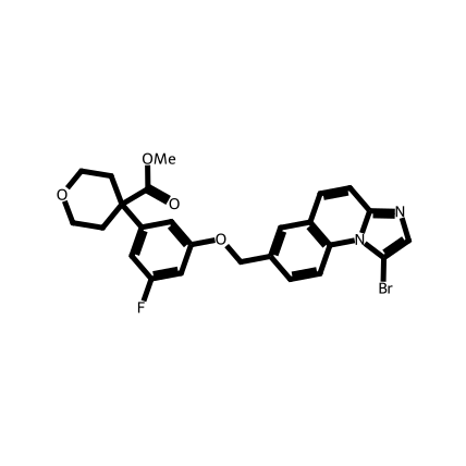 COC(=O)C1(c2cc(F)cc(OCc3ccc4c(ccc5ncc(Br)n54)c3)c2)CCOCC1